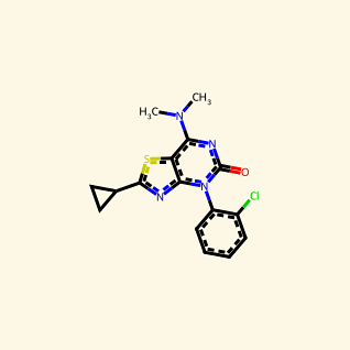 CN(C)c1nc(=O)n(-c2ccccc2Cl)c2nc(C3CC3)sc12